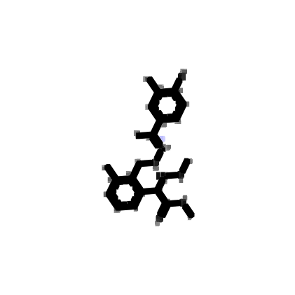 CONC(C(=O)OC)c1cccc(C)c1CO/N=C(\C)c1ccc(Cl)c(C)c1